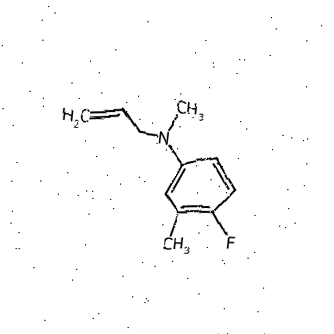 C=CCN(C)c1ccc(F)c(C)c1